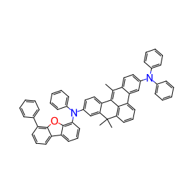 Cc1c2c3c(cccc3c3cc(N(c4ccccc4)c4ccccc4)ccc13)C(C)(C)c1cc(N(c3ccccc3)c3cccc4c3oc3c(-c5ccccc5)cccc34)ccc1-2